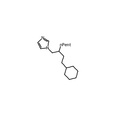 CCCCCC(CCC1CCCCC1)Cn1ccnc1